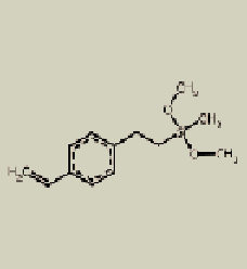 C=Cc1ccc([CH]C[Si](C)(OC)OC)cc1